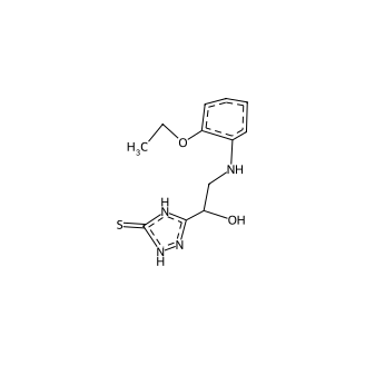 CCOc1ccccc1NCC(O)c1n[nH]c(=S)[nH]1